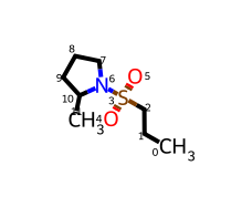 CCCS(=O)(=O)N1CCCC1C